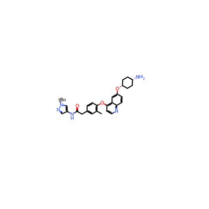 Cc1cc(CC(=O)Nc2cnn(C(C)(C)C)c2)ccc1Oc1ccnc2ccc(O[C@H]3CC[C@@H](N)CC3)cc12